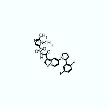 Cc1ncc(S(=O)(=O)NC(=O)c2cnn3ccc(N4CCCC4c4cc(F)ccc4F)cc23)n1C